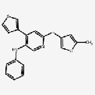 Cc1cc(Sc2cc(-c3ccsc3)c(Nc3ccccc3)cn2)co1